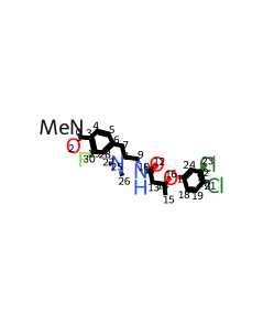 CNC(=O)c1ccc(CC(CNC(=O)CC(C)Oc2ccc(Cl)c(Cl)c2)N(C)C)cc1F